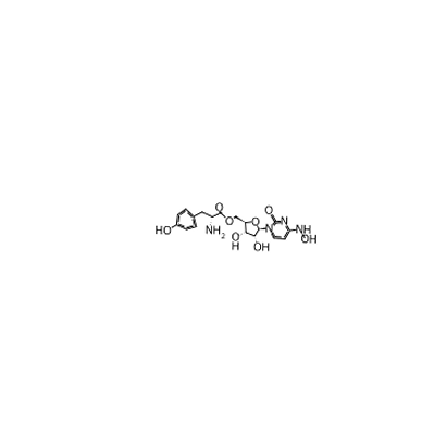 N[C@H](Cc1ccc(O)cc1)C(=O)OC[C@H]1O[C@@H](n2ccc(NO)nc2=O)[C@H](O)[C@@H]1O